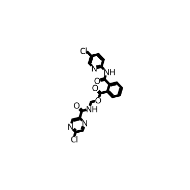 O=C(NCOC(=O)c1ccccc1C(=O)Nc1ccc(Cl)cn1)c1cnc(Cl)cn1